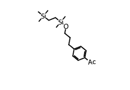 CC(=O)c1ccc(CCCO[Si](C)(C)CC[Si](C)(C)C)cc1